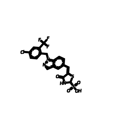 O=C1NC(S(=O)(=O)O)SC1=Cc1ccc2c(cnn2Cc2ccc(Cl)cc2C(F)(F)F)c1